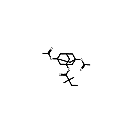 CCC(C)(C)C(=O)OC12CC3CC(OC(C)=O)(CC(OC(C)=O)(C3)C1)C2